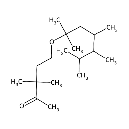 CC(=O)C(C)(C)CCOC(C)(C)CC(C)C(C)C(C)C